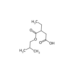 CCC(CC(=O)O)C(=O)OCC(C)C